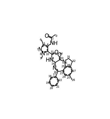 CC(=O)Nc1c(C)nn(C)c1C(=O)NC1N=C(c2ccccc2)c2cc(C)cc3c2N(CC3)C1=O